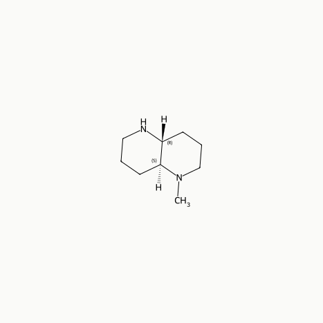 CN1CCC[C@H]2NCCC[C@@H]21